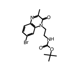 Cc1nc2ccc(Br)cc2n(CCNC(=O)OC(C)(C)C)c1=O